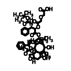 CC(=O)O[C@@]12CO[C@@H]1C[C@H](O)[C@@]1(C)C(=O)[C@H](O)C3=C(C)[C@@H](OC(=O)[C@H](OC(=O)COCC(=O)O)[C@@H](NC(=O)OC(C)(C)C)c4ccccc4)C[C@@](O)([C@@H](OC(=O)c4ccccc4)[C@H]21)C3(C)C